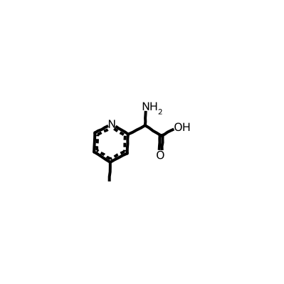 Cc1ccnc(C(N)C(=O)O)c1